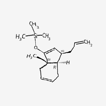 C=CC[C@@H]1C=C(O[Si](C)(C)C)[C@@]2(C)CC=CC[C@H]12